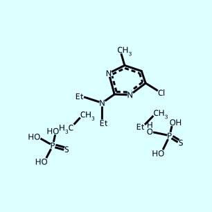 CC.CCC.CCN(CC)c1nc(C)cc(Cl)n1.OP(O)(O)=S.OP(O)(O)=S